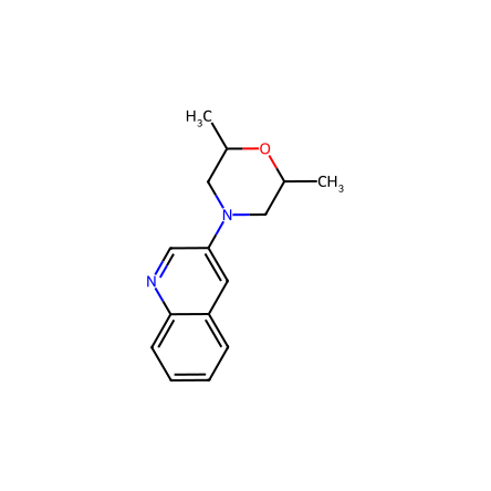 CC1CN(c2cnc3ccccc3c2)CC(C)O1